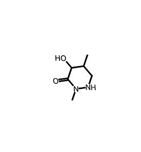 CC1CNN(C)C(=O)C1O